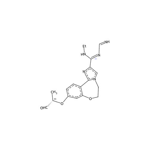 CCN/C(=N\C=N)c1cn2c(n1)-c1ccc(O[C@@H](C)C=O)cc1OCC2